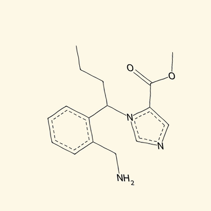 CCCC(c1ccccc1CN)n1cncc1C(=O)OC